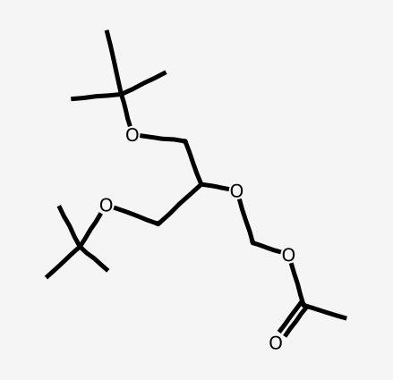 CC(=O)OCOC(COC(C)(C)C)COC(C)(C)C